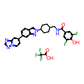 O=C(NCC1CCC(n2cc3ccc(-c4ccn5ncnc5c4)cc3n2)CC1)c1cc(F)c(O)c(F)c1.O=C(O)C(F)(F)F